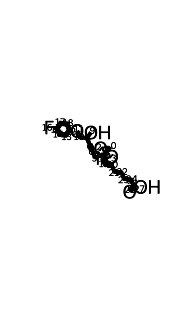 CS(=O)(=O)N(CC#CC(O)COc1ccc(F)cc1)CCCCCCC(=O)O